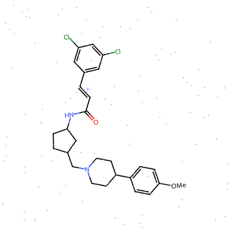 COc1ccc(C2CCN(CC3CCC(NC(=O)/C=C/c4cc(Cl)cc(Cl)c4)C3)CC2)cc1